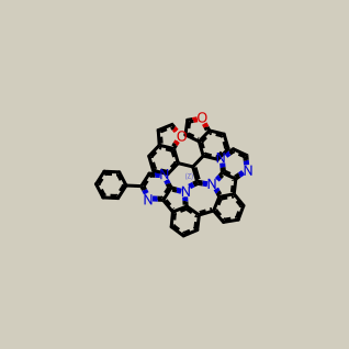 c1ccc(-c2cnc3c(n2)c2cccc4c5cccc6c7nccnc7n(/c(=C(\c7cccc8occc78)c7cccc8ccoc78)n3c42)c56)cc1